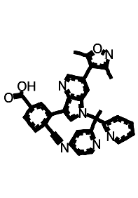 Cc1noc(C)c1-c1cnc2c(-c3cc(C(=O)O)ccc3C#N)cn(C(C)(c3ccccn3)c3ccccn3)c2c1